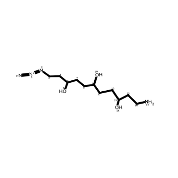 [N-]=[N+]=NCCC(O)CCC(O)CCC(O)CCN